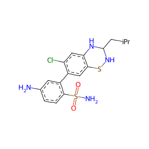 CC(C)CC1NSc2cc(-c3cc(N)ccc3S(N)(=O)=O)c(Cl)cc2N1